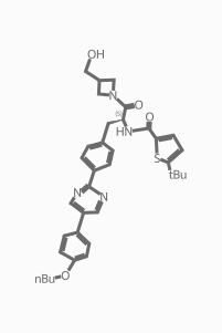 CCCCOc1ccc(-c2cnc(-c3ccc(C[C@H](NC(=O)c4ccc(C(C)(C)C)s4)C(=O)N4CC(CO)C4)cc3)nc2)cc1